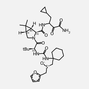 CC(C)(C)[C@H](NC(=O)NC1(C[S+]([O-])Cc2ccco2)CCCCC1)C(=O)N1C[C@H]2[C@@H]([C@H]1C(=O)NC(CC1CC1)C(=O)C(N)=O)C2(C)C